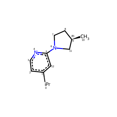 CC(C)c1ccnc(N2CC[C@@H](C)C2)c1